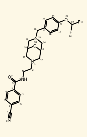 N#Cc1ccc(C(=O)NCCN2CC3CN(Cc4ccc(OC(F)F)cc4)CC(C2)O3)cc1